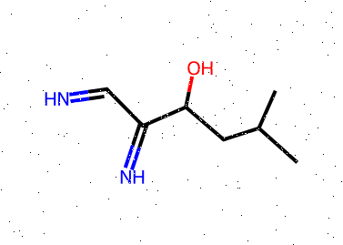 CC(C)CC(O)C(=N)C=N